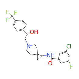 O=C(NC1CC12CCN(C[C@@H](O)c1ccc(C(F)(F)F)cc1)CC2)c1cc(F)cc(Cl)c1